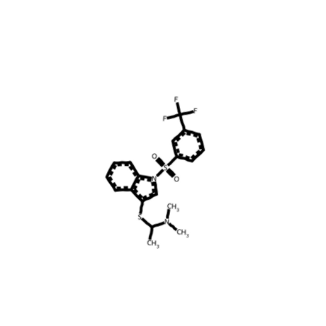 CC(Sc1cn(S(=O)(=O)c2cccc(C(F)(F)F)c2)c2ccccc12)N(C)C